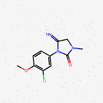 COc1ccc(N2C(=N)CN(C)C2=O)cc1Cl